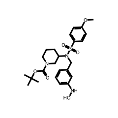 COc1ccc(S(=O)(=O)N(Cc2cccc(NO)c2)C2CCCN(C(=O)OC(C)(C)C)C2)cc1